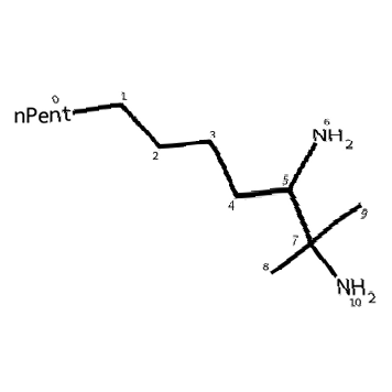 CCCCCCCCCC(N)C(C)(C)N